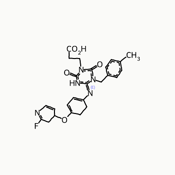 Cc1ccc(Cn2c(=O)n(CCC(=O)O)c(=O)[nH]/c2=N\C2=CC=C(OC3C=CN=C(F)C3)CC2)cc1